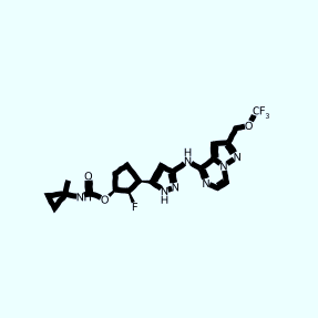 CC1(NC(=O)O[C@H]2CC[C@@H](c3cc(Nc4nccn5nc(COC(F)(F)F)cc45)n[nH]3)[C@H]2F)CC1